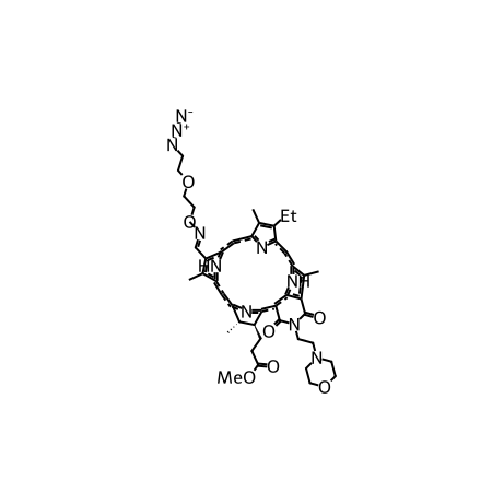 CCC1=C(C)c2cc3[nH]c(cc4nc(c5c6[nH]c(cc1n2)c(C)c6C(=O)N(CCN1CCOCC1)C5=O)[C@@H](CCC(=O)OC)[C@@H]4C)c(C)c3C=NOCCOCCN=[N+]=[N-]